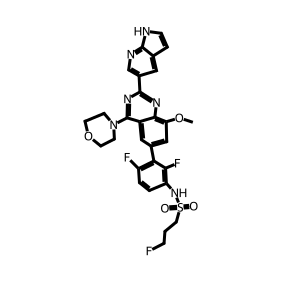 COc1cc(-c2c(F)ccc(NS(=O)(=O)CCCF)c2F)cc2c(N3CCOCC3)nc(-c3cnc4[nH]ccc4c3)nc12